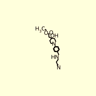 CCOC(=O)CC1(O)CCN(c2ccc(CNCCC#N)cc2)CC1